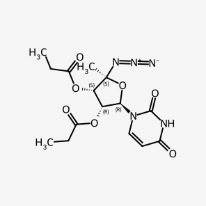 CCC(=O)O[C@H]1[C@H](n2ccc(=O)[nH]c2=O)O[C@](C)(N=[N+]=[N-])[C@H]1OC(=O)CC